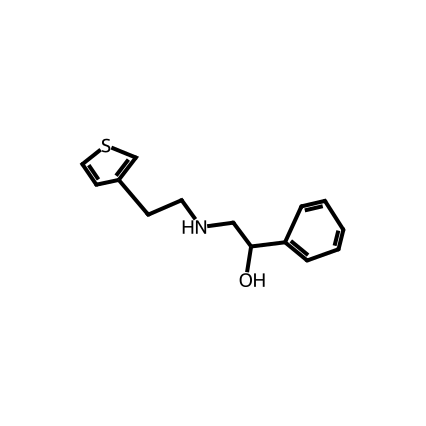 OC(CNCCc1ccsc1)c1ccccc1